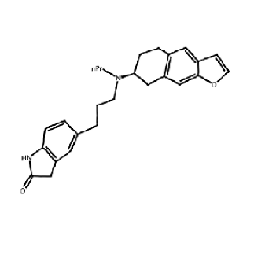 CCCN(CCCc1ccc2c(c1)CC(=O)N2)[C@H]1CCc2cc3ccoc3cc2C1